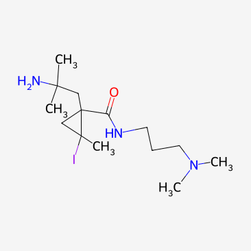 CN(C)CCCNC(=O)C1(CC(C)(C)N)CC1(C)I